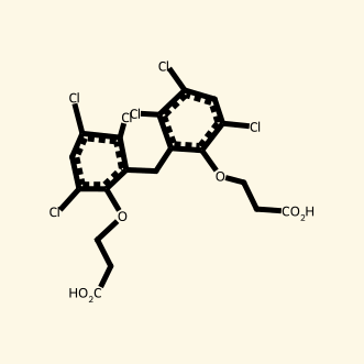 O=C(O)CCOc1c(Cl)cc(Cl)c(Cl)c1Cc1c(Cl)c(Cl)cc(Cl)c1OCCC(=O)O